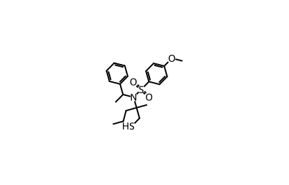 CCCC(C)(CS)N(C(C)c1ccccc1)S(=O)(=O)c1ccc(OC)cc1